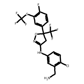 NCc1cc(NC2=NOC(c3ccc(F)c(SC(F)(F)F)c3)(C(F)(F)F)C2)ccc1Cl